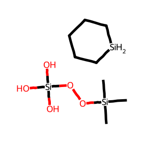 C1CC[SiH2]CC1.C[Si](C)(C)OO[Si](O)(O)O